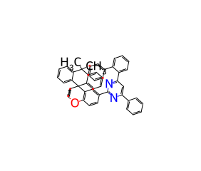 CC1(C)c2ccccc2C2(c3ccccc3Oc3ccc(-c4nc(-c5ccccc5)cc(-c5ccccc5-c5ccccc5)n4)cc32)c2ccccc21